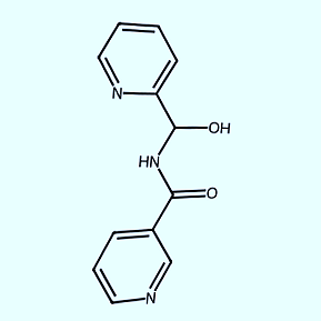 O=C(NC(O)c1ccccn1)c1cccnc1